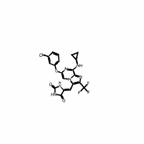 O=C1NC(=O)/C(=C/c2c(C(F)(F)F)nc3c(NC4CC4)nc(Oc4cccc(Cl)c4)cn23)N1